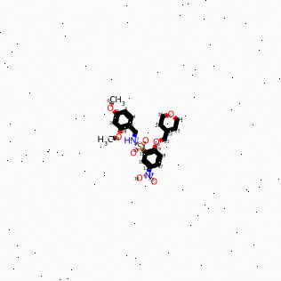 COc1ccc(CNS(=O)(=O)c2cc([N+](=O)[O-])ccc2OCC2CCOCC2)c(OC)c1